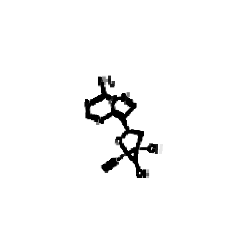 C#C[C@]12O[C@@H](c3cnn4c(N)ncnc34)C[C@@]1(O)C2O